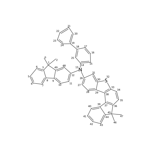 CC1(C)c2ccccc2-c2ccc(N(c3cccc(-c4ccccc4)c3)c3ccc4c(c3)sc3ccc5c(c34)-c3ccccc3C5(C)C)cc21